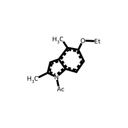 CCOc1ccc2c(cc(C)n2C(C)=O)c1C